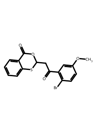 COc1ccc(Br)c(C(=O)CC2OC(=O)c3ccccc3S2)c1